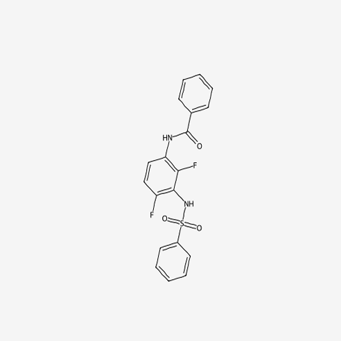 O=C(Nc1ccc(F)c(NS(=O)(=O)c2ccccc2)c1F)c1ccccc1